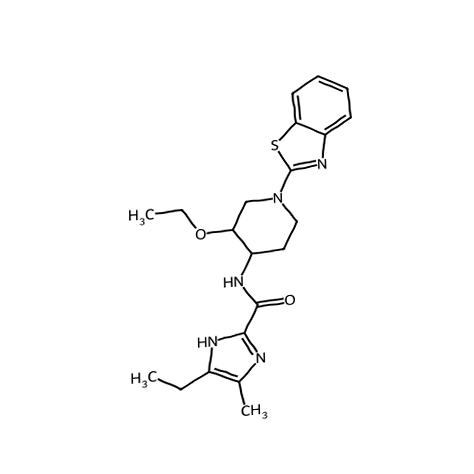 CCOC1CN(c2nc3ccccc3s2)CCC1NC(=O)c1nc(C)c(CC)[nH]1